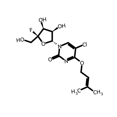 CC(C)=CCOc1nc(=O)n([C@@H]2O[C@](F)(CO)[C@@H](O)[C@H]2O)cc1Cl